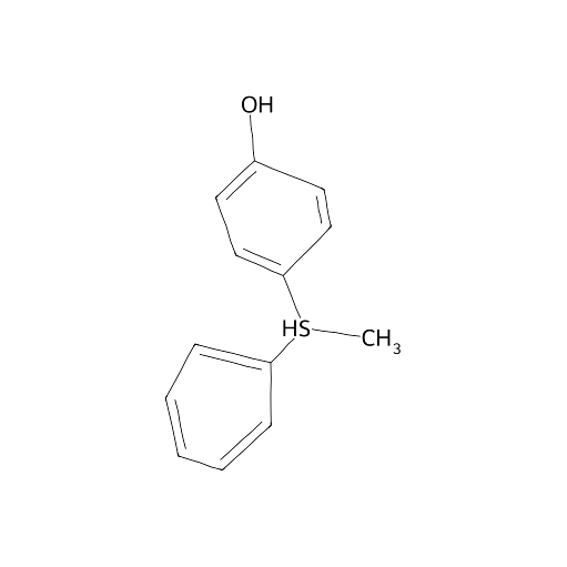 C[SH](c1ccccc1)c1ccc(O)cc1